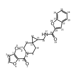 Cc1ncoc1C(=O)N1CCC2(CC1)CC2CNC(=O)c1cc2ccccc2o1